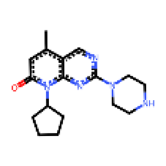 Cc1cc(=O)n(C2CCCC2)c2nc(N3CCNCC3)ncc12